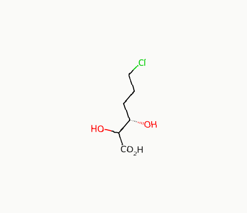 O=C(O)C(O)[C@@H](O)CCCCl